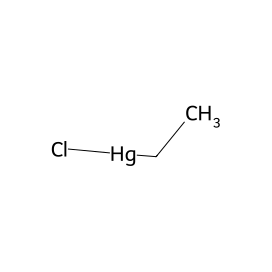 C[CH2][Hg][Cl]